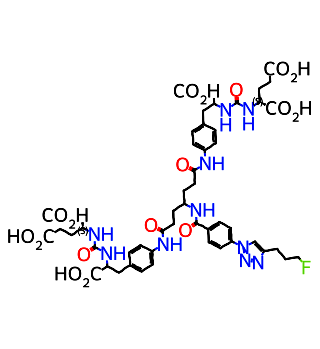 O=C(O)CC[C@H](NC(=O)NC(Cc1ccc(NC(=O)CCC(CCC(=O)Nc2ccc(CC(NC(=O)N[C@@H](CCC(=O)O)C(=O)O)C(=O)O)cc2)NC(=O)c2ccc(-n3cc(CCCF)nn3)cc2)cc1)C(=O)O)C(=O)O